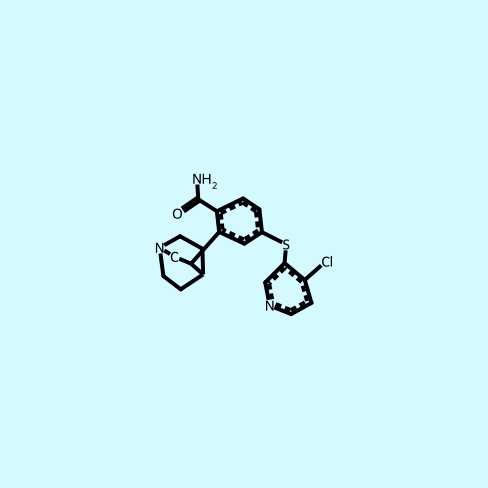 NC(=O)c1ccc(Sc2cnccc2Cl)cc1C1CN2CCC1CC2